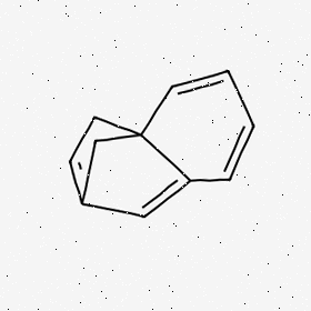 C1=CC2=CC3=CCC2(C=C1)C3